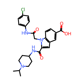 CC(C)N1CCC(NC(=O)c2cc3cc(C(=O)O)ccc3n2CC(=O)Nc2ccc(Cl)cc2)CC1